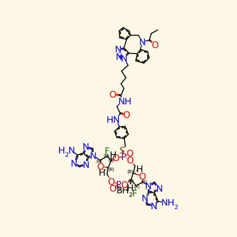 B[P@]1(=O)OC[C@H]2O[C@@H](n3cnc4c(N)ncnc43)[C@H](F)[C@@H]2OP(=O)(SCc2ccc(NC(=O)CNC(=O)CCCCCn3nnc4c3-c3ccccc3N(C(=O)CC)Cc3ccccc3-4)cc2)OC[C@H]2O[C@@H](n3cnc4c(N)ncnc43)[C@H](F)[C@@H]2O1